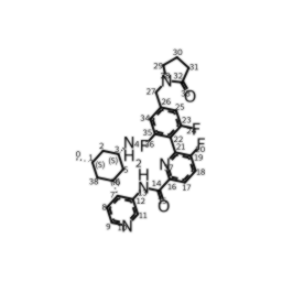 C[C@@H]1C[C@H](N)C[C@H](c2ccncc2NC(=O)c2ccc(F)c(-c3c(F)cc(CN4CCCC4=O)cc3F)n2)C1